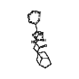 CC(C)(C)NC(=O)CN1C2CCC1CN(Cc1nc(-c3ccccc3)c[nH]1)C2